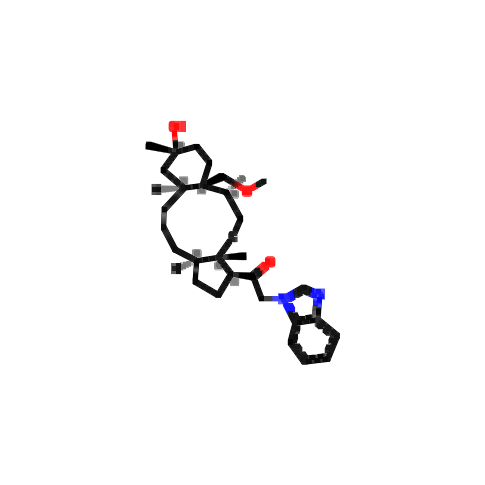 COC[C@]12CC[C@@](C)(O)C[C@@H]1CCC[C@@H]1CC[C@H](C(=O)Cn3cnc4ccccc43)[C@@]1(C)CC[C@H]2C